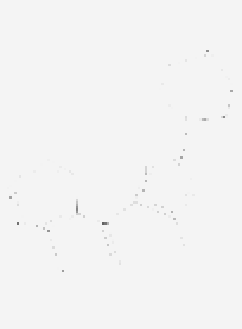 Cc1sc(N2CCNC[C@H]2C)nc1C(=O)c1cccnc1N